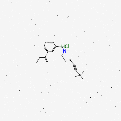 C=C(CC)c1cccc(CN(C)C/C=C/C#CC(C)(C)C)c1.Cl